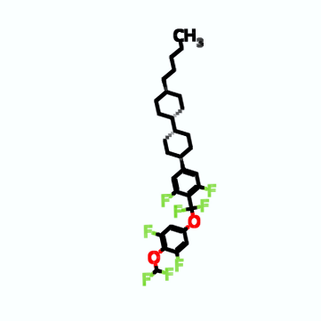 CCCCC[C@H]1CC[C@H]([C@H]2CC[C@H](c3cc(F)c(C(F)(F)Oc4cc(F)c(OC(F)F)c(F)c4)c(F)c3)CC2)CC1